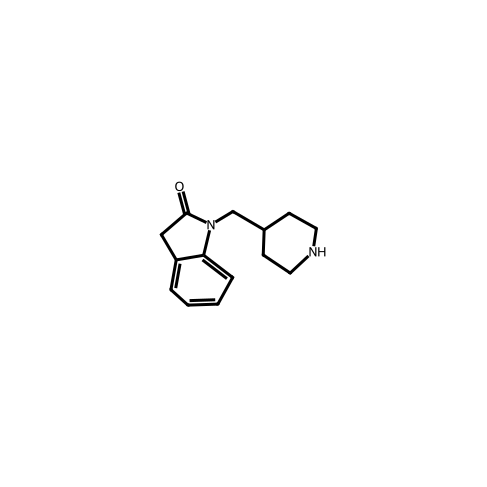 O=C1Cc2ccccc2N1CC1CCNCC1